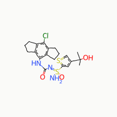 CC(C)(O)c1csc([S@](N)(=O)=NC(=O)Nc2c3c(c(Cl)c4c2CCC4)CCC3)c1